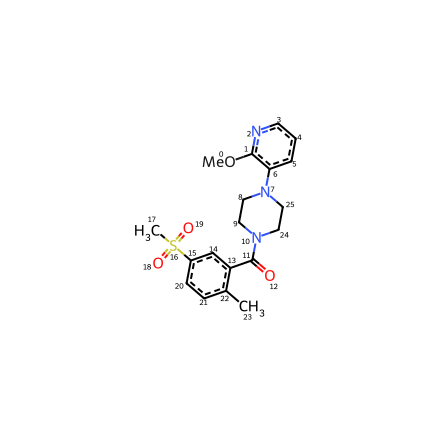 COc1ncccc1N1CCN(C(=O)c2cc(S(C)(=O)=O)ccc2C)CC1